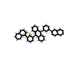 c1cc(-c2ccc3ccccc3c2)cc(-c2c3ccccc3c(-c3cccc4c3sc3ccc5ccccc5c34)c3ccccc23)c1